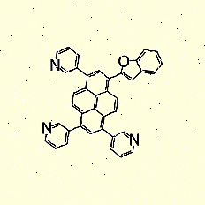 c1cncc(-c2cc(-c3cccnc3)c3ccc4c(-c5cc6ccccc6o5)cc(-c5cccnc5)c5ccc2c3c54)c1